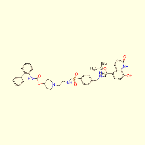 CC(C)(C)[Si](C)(C)O[C@H](CNCc1ccc(S(=O)(=O)CNCCN2CCC(OC(=O)Nc3ccccc3-c3ccccc3)CC2)cc1)c1ccc(O)c2[nH]c(=O)ccc12